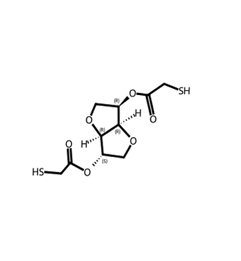 O=C(CS)O[C@H]1CO[C@H]2[C@@H]1OC[C@H]2OC(=O)CS